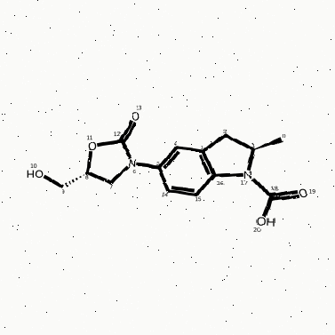 C[C@@H]1Cc2cc(N3C[C@H](CO)OC3=O)ccc2N1C(=O)O